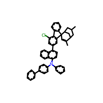 CC1=CC2(c3ccccc3-c3c(Cl)cc(-c4ccc(N(c5ccccc5)c5ccc(-c6ccccc6)cc5)c5ccccc45)cc32)C2CC(C)CC1C2